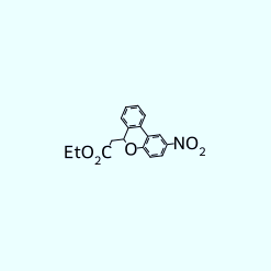 CCOC(=O)CC1Oc2ccc([N+](=O)[O-])cc2-c2ccccc21